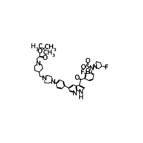 CC(C)(C)OC(=O)CN1CCC(CN2CCN(c3ccc(-c4cnc5[nH]cc(C(=O)c6cccc(N(N7CC[C@@H](F)C7)[SH](=O)=O)c6F)c5c4)cc3)CC2)CC1